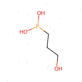 OCCCP(O)O